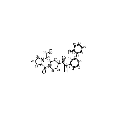 O=C(Nc1cccc(-c2ccccc2F)c1)C1CCN(C(=O)[C@@H]2CCCN2CCF)CC1